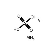 O=S(=O)(O)O.[AlH3].[V]